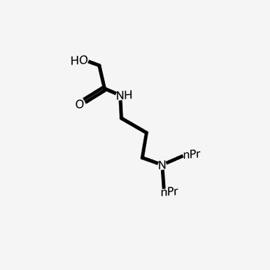 CCCN(CCC)CCCNC(=O)CO